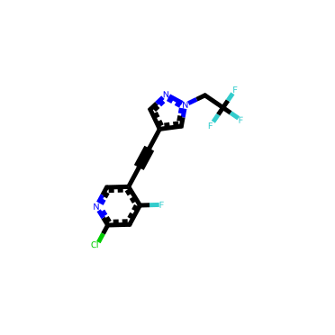 Fc1cc(Cl)ncc1C#Cc1cnn(CC(F)(F)F)c1